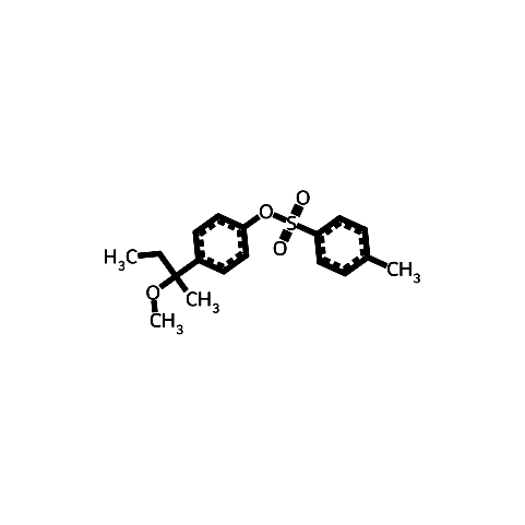 CCC(C)(OC)c1ccc(OS(=O)(=O)c2ccc(C)cc2)cc1